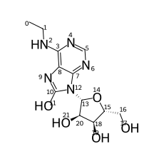 CCNc1ncnc2c1nc(O)n2[C@@H]1O[C@H](CO)[C@@H](O)[C@H]1O